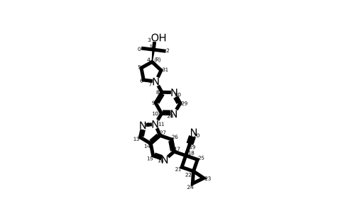 CC(C)(O)[C@@H]1CCN(c2cc(-n3ncc4cnc(C5(C#N)CC6(CC6)C5)cc43)ncn2)C1